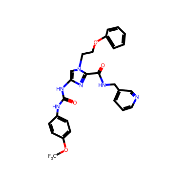 O=C(Nc1ccc(OC(F)(F)F)cc1)Nc1cn(CCOc2ccccc2)c(C(=O)NCc2cccnc2)n1